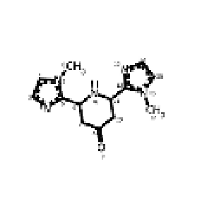 Cn1ccnc1C1CC(=O)CC(c2nccn2C)N1